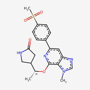 C[C@@H](Oc1nc(-c2ccc(S(C)(=O)=O)cc2)cc2ncn(C)c12)C1CNC(=O)C1